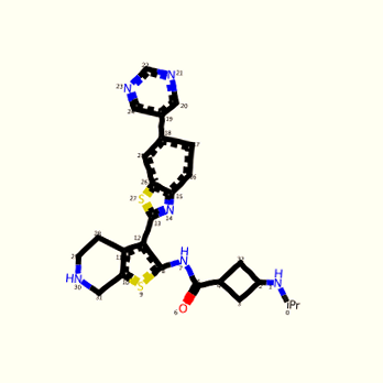 CC(C)NC1CC(C(=O)Nc2sc3c(c2-c2nc4ccc(-c5cncnc5)cc4s2)CCNC3)C1